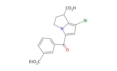 CCOC(=O)c1cccc(C(=O)c2cc(Br)c3n2CCC3C(=O)O)c1